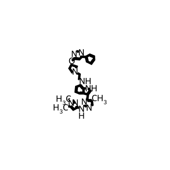 Cc1cnc(Nc2cc(C)n(C)n2)nc1-c1c[nH]c2c(NCCN3CC[C@H](Oc4cc(-c5ccccc5)ncn4)C3)cccc12